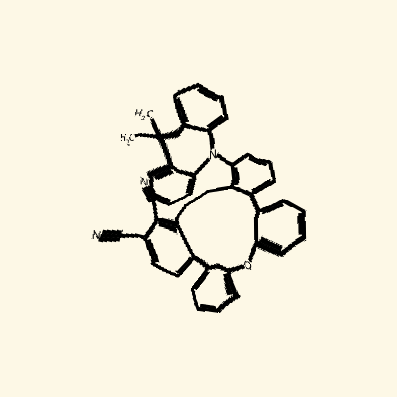 CC1(C)c2ccccc2N(c2cccc3c2CCc2c(ccc(C#N)c2C#N)-c2ccccc2Oc2ccccc2-3)c2ccccc21